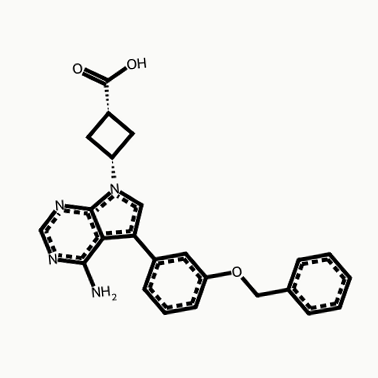 Nc1ncnc2c1c(-c1cccc(OCc3ccccc3)c1)cn2[C@H]1C[C@@H](C(=O)O)C1